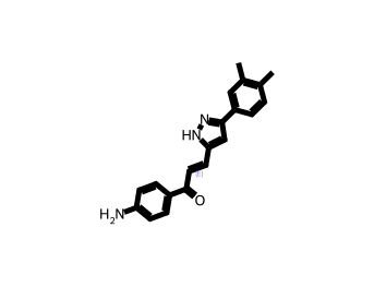 Cc1ccc(-c2cc(/C=C/C(=O)c3ccc(N)cc3)[nH]n2)cc1C